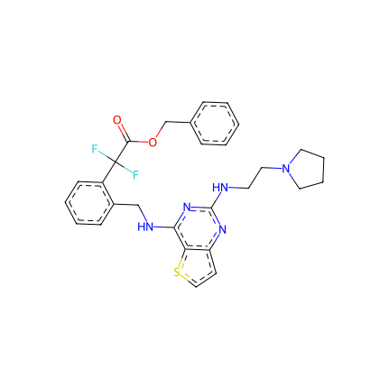 O=C(OCc1ccccc1)C(F)(F)c1ccccc1CNc1nc(NCCN2CCCC2)nc2ccsc12